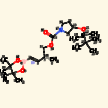 C[C@H](/C=C/B1OC(C)(C)C(C)(C)O1)COC(=O)N1CCC(O[Si](C)(C)C(C)(C)C)C1